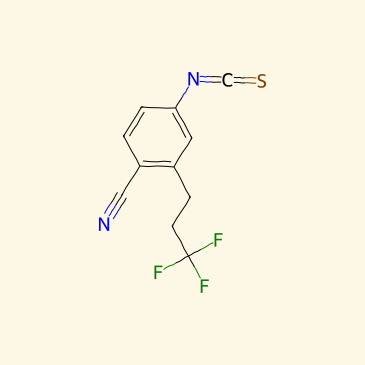 N#Cc1ccc(N=C=S)cc1CCC(F)(F)F